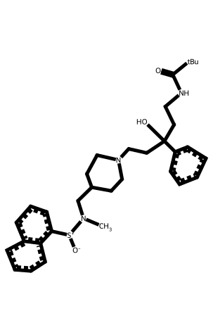 CN(CC1CCN(CCC(O)(CCNC(=O)C(C)(C)C)c2ccccc2)CC1)[S+]([O-])c1cccc2ccccc12